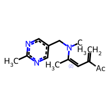 C=C(/C=C(/C)N(C)Cc1cnc(C)nc1)C(C)=O